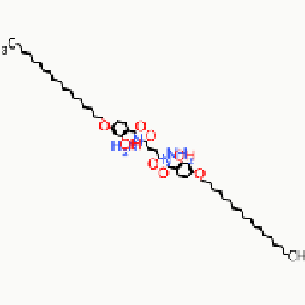 CCCCCCCCCCCCCCCCCCOc1ccc(C(=O)N(N)C(=O)CCC(=O)N(N)C(=O)c2ccc(OCCCCCCCCCCCCCCCCCC)cc2O)c(O)c1